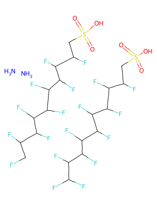 N.N.O=S(=O)(O)CC(F)C(F)C(F)C(F)C(F)C(F)C(F)C(F)C(F)F.O=S(=O)(O)CC(F)C(F)C(F)C(F)C(F)C(F)C(F)C(F)CF